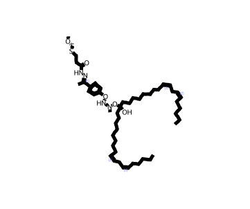 CCCCC/C=C\C/C=C\CCCCCCCCC(O)(CCCCCCCC/C=C\C/C=C\CCCCC)ON(C)NOc1ccc(/C(C)=N/NC(=O)CCSSOC)cc1